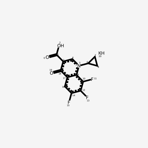 O=C(O)c1cn(C2CC2)c2c(F)c(F)c(F)cc2c1=O.[KH]